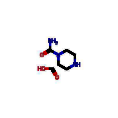 NC(=O)N1CCNCC1.O=CO